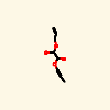 C=CCOC(=O)C(=O)OC#CC